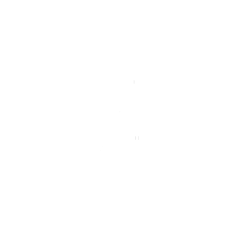 CC(C(=O)O)C1C=CC=C(C(F)(F)F)C1=O